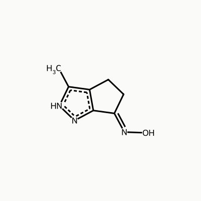 Cc1[nH]nc2c1CC/C2=N\O